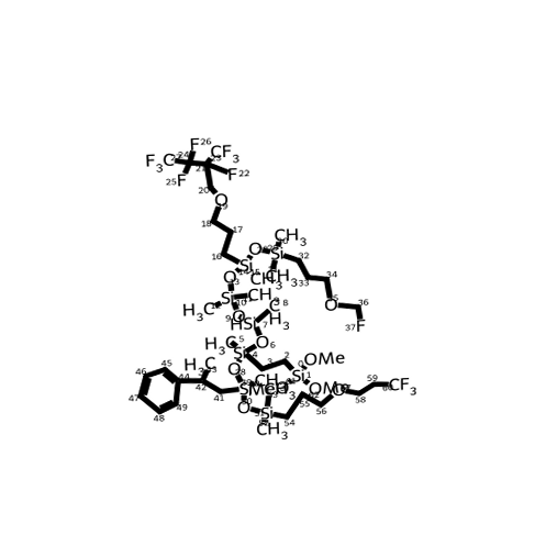 CO[Si](CC[Si](C)(O[SiH](C)O[Si](C)(C)O[Si](C)(CCCOCC(F)(C(F)(F)F)C(F)(F)C(F)(F)F)O[Si](C)(C)CCCOCF)O[Si](C)(CC(C)c1ccccc1)O[Si](C)(C)CCCOCCC(F)(F)F)(OC)OC